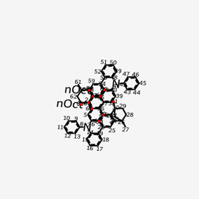 CCCCCCCCc1c(CCCCCCCC)c2cc(N(c3ccccc3)c3ccccc3-c3ccc4c(c3)C3(C)CCC4(C)CC3)ccc2c2ccc(N(c3ccccc3)c3ccccc3-c3ccc4c(c3)C3(C)CCC4(C)CC3)cc12